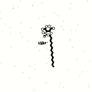 CCCCCCCCCCCCCCOC(C(=O)[O-])C(C(=O)[O-])S(=O)(=O)[O-].[Na+].[Na+].[Na+]